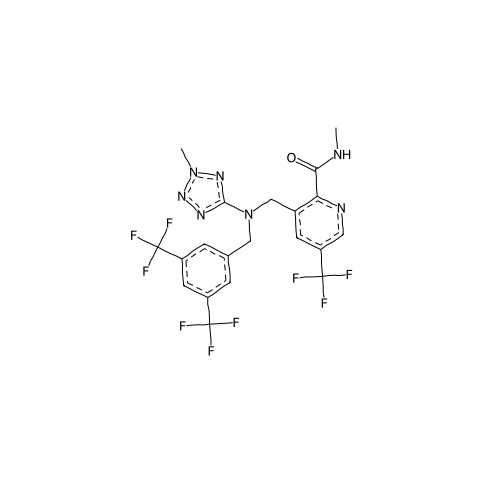 CNC(=O)c1ncc(C(F)(F)F)cc1CN(Cc1cc(C(F)(F)F)cc(C(F)(F)F)c1)c1nnn(C)n1